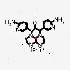 CC(C)N1CCN(C(C(=O)C(c2ccc(N)nc2)N2CCN(C(C)C)CC2)c2ccc(N)nc2)CC1